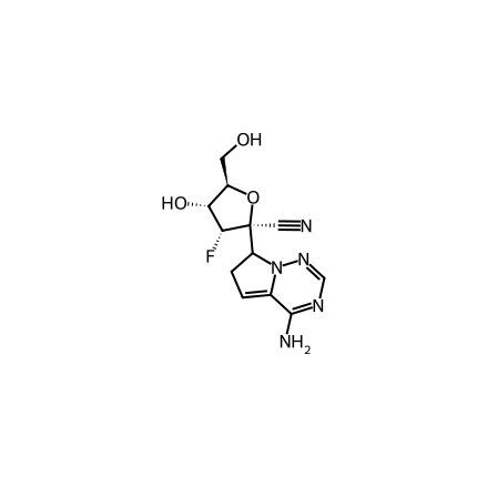 N#C[C@@]1(C2CC=C3C(N)=NC=NN32)O[C@H](CO)[C@@H](O)[C@H]1F